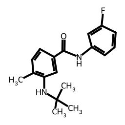 Cc1ccc(C(=O)Nc2cccc(F)c2)cc1NC(C)(C)C